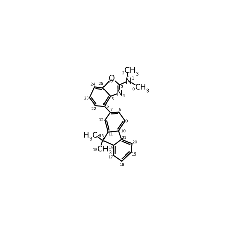 CN(C)c1nc2c(-c3ccc4c(c3)C(C)(C)c3ccccc3-4)cccc2o1